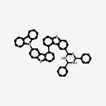 c1ccc(C2N=C(c3ccc4sc5cccc(-c6cccc7sc8ccc(-n9c%10ccccc%10c%10ccccc%109)cc8c67)c5c4c3)NC(c3ccccc3)N2)cc1